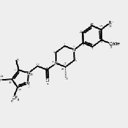 COc1cc(N2CCN(C(=O)Cn3nc(C(F)(F)F)c(Br)c3C)[C@@H](C)C2)ccc1Br